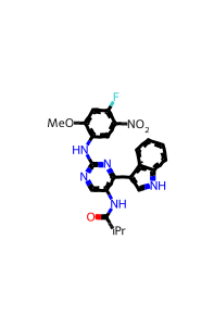 COc1cc(F)c([N+](=O)[O-])cc1Nc1ncc(NC(=O)C(C)C)c(-c2c[nH]c3ccccc23)n1